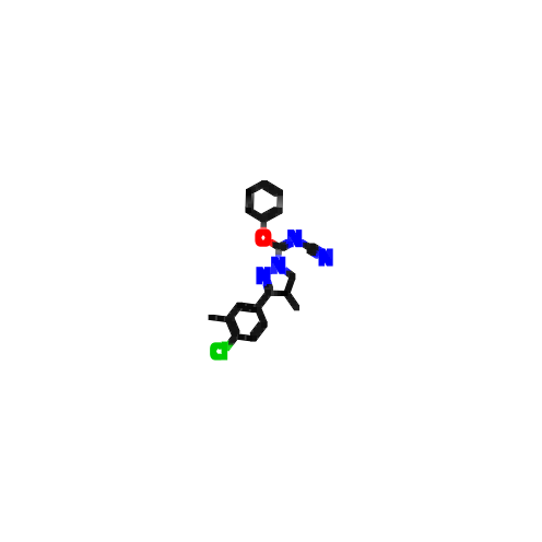 Cc1cc(C2=NN(/C(=N\C#N)Oc3ccccc3)CC2C)ccc1Cl